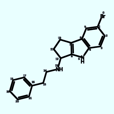 Brc1ccc2[nH]c3c(c2c1)CCC3NCCc1ccccc1